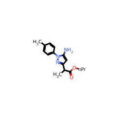 CCCOC(=O)C(C)c1cc(N)n(-c2ccc(C)cc2)n1